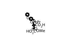 CCCN(Cc1ccc(Oc2ccccc2)cc1)C(=O)C1CC(C(=O)OC(OC)C(=O)O)C1C(=O)O